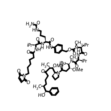 CC[C@H](C)[C@@H]([C@@H](CC(=O)N1CCC[C@H]1[C@H](OC)[C@@H](C)C(=O)CCC[C@H](C)[C@@H](O)c1ccccc1)OC)N(C)C(=O)[C@@H](NC(=O)[C@H](C(C)C)N(C)C(=O)OCc1ccc(NC(=O)[C@H](CCCNC(N)=O)NC(=O)[C@@H](NC(=O)CCCCCN2C(=O)C=CC2=O)C(C)C)cc1)C(C)C